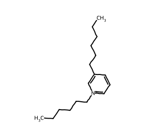 CCCCCCc1ccc[n+](CCCCCC)c1